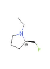 CCN1CCC[C@@H]1CF